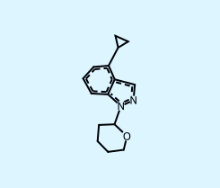 c1cc(C2CC2)c2cnn(C3CCCCO3)c2c1